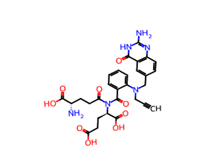 C#CCN(Cc1ccc2nc(N)[nH]c(=O)c2c1)c1ccccc1C(=O)N(C(=O)CC[C@H](N)C(=O)O)[C@H](CCC(=O)O)C(=O)O